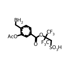 BCc1ccc(C(=O)OC(CS(=O)(=O)O)(C(F)(F)F)C(F)(F)F)cc1OC(C)=O